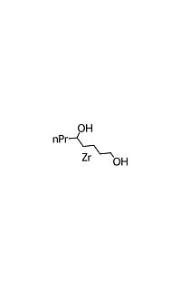 CCCC(O)CCCCO.[Zr]